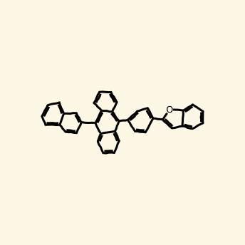 c1ccc2cc(-c3c4ccccc4c(-c4ccc(-c5cc6ccccc6o5)cc4)c4ccccc34)ccc2c1